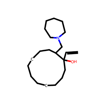 C=CC1(O)CCCCCCCCCCC1CN1CCCCCC1